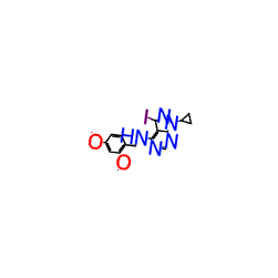 COc1ccc(CNc2ncnc3c2c(I)nn3C2CC2)c(OC)c1